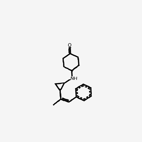 CC(=Cc1ccccc1)C1CC1NC1CCC(=O)CC1